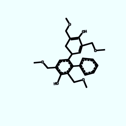 COCC1=CC(c2cc(COC)c(O)c(COC)c2-c2ccccc2)CC(COC)=C1O